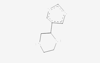 c1ncc(C2CNCCN2)cn1